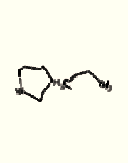 C1CCNC1.CCC